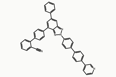 N#Cc1ccccc1-c1ccc(-c2cc(-c3ccccc3)cc3nn(-c4ccc(-c5ccc(-c6cccnc6)cc5)cc4)nc23)cc1